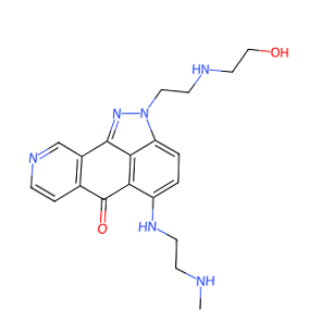 CNCCNc1ccc2c3c(nn2CCNCCO)-c2cnccc2C(=O)c13